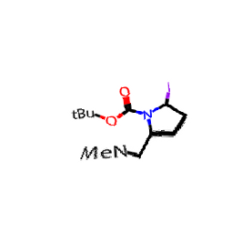 CNCC1CCC(I)N1C(=O)OC(C)(C)C